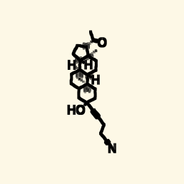 CC(=O)[C@H]1CC[C@H]2[C@@H]3CCC4CC(O)(C#CCCC#N)CC[C@]4(C)[C@H]3CC[C@]12C